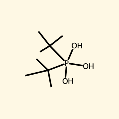 CC(C)(C)P(O)(O)(O)C(C)(C)C